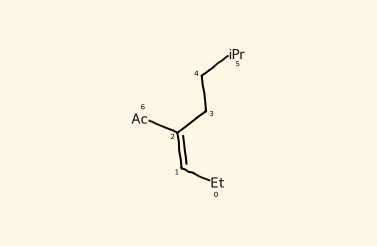 CCC=C(CCC(C)C)C(C)=O